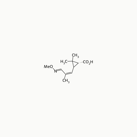 CON=CC(C)=CC1[C@@H](C(=O)O)C1(C)C